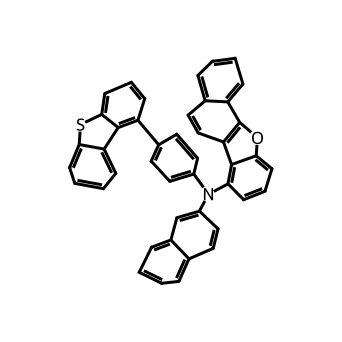 c1ccc2cc(N(c3ccc(-c4cccc5sc6ccccc6c45)cc3)c3cccc4oc5c6ccccc6ccc5c34)ccc2c1